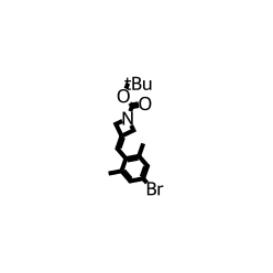 Cc1cc(Br)cc(C)c1C=C1CN(C(=O)OC(C)(C)C)C1